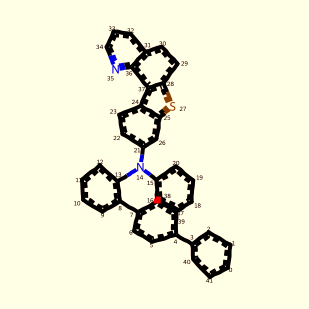 c1ccc(-c2ccc(-c3ccccc3N(c3ccccc3)c3ccc4c(c3)sc3ccc5cccnc5c34)cc2)cc1